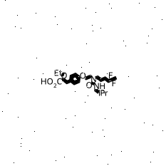 CCOC(Cc1ccc(OCCN(CCCCC(C)(F)F)C(=O)NCC(C)C)cc1)C(=O)O